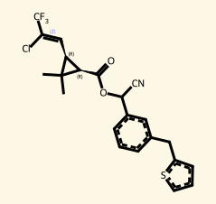 CC1(C)[C@H](C(=O)OC(C#N)c2cccc(Cc3cccs3)c2)[C@@H]1/C=C(\Cl)C(F)(F)F